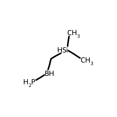 C[SiH](C)CBP